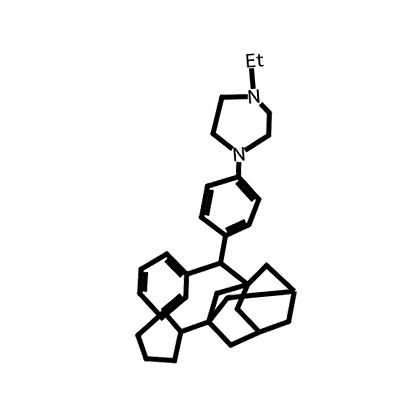 CCN1CCN(c2ccc(C(c3ccccc3)C34CC5CC(CC(C6CCCC6)(C5)C3)C4)cc2)CC1